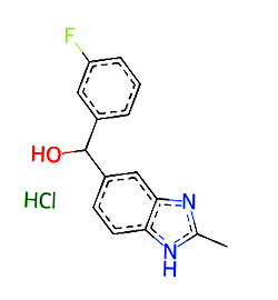 Cc1nc2cc(C(O)c3cccc(F)c3)ccc2[nH]1.Cl